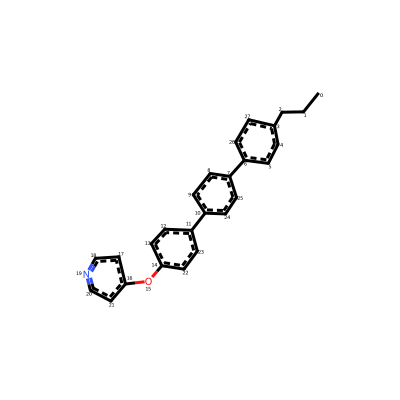 CCCc1ccc(-c2ccc(-c3ccc(Oc4ccncc4)cc3)cc2)cc1